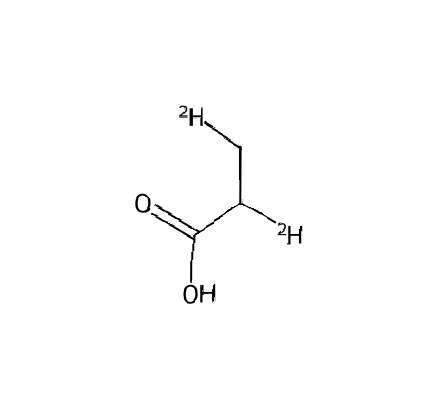 [2H]CC([2H])C(=O)O